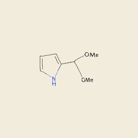 COC(OC)c1ccc[nH]1